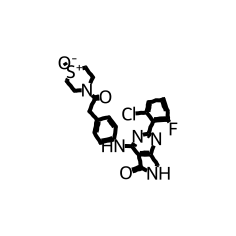 O=C1NCc2nc(-c3c(F)cccc3Cl)nc(Nc3ccc(CC(=O)N4CC[S+]([O-])CC4)cc3)c21